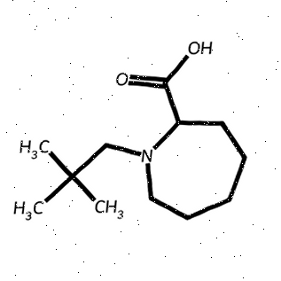 CC(C)(C)CN1CCCCCC1C(=O)O